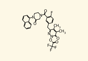 Cc1c(Cc2ccc(F)c(C(=O)N3CCN(c4cccc5ccccc45)C(=O)C3)c2)nn(OC(=O)C(F)(F)F)c(=O)c1C